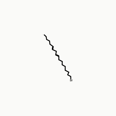 [CH2]CCCCC=CCC=CCCCCCCCCBr